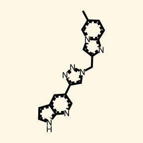 Cc1ccc2nc(Cn3cc(-c4cnc5[nH]ccc5c4)nn3)cn2c1